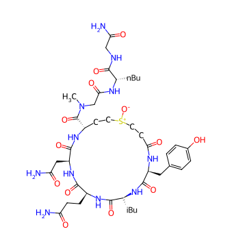 CCCC[C@H](NC(=O)CN(C)C(=O)[C@@H]1CC[S+]([O-])CCC(=O)N[C@@H](Cc2ccc(O)cc2)C(=O)N[C@@H]([C@@H](C)CC)C(=O)N[C@@H](CCC(N)=O)C(=O)N[C@@H](CC(N)=O)C(=O)N1)C(=O)NCC(N)=O